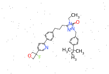 CCn1c(CCCc2ccc(-c3ccc(C4(F)COC4)cn3)cc2)nn(Cc2ccc(C(C)(C)C)cc2)c1=O